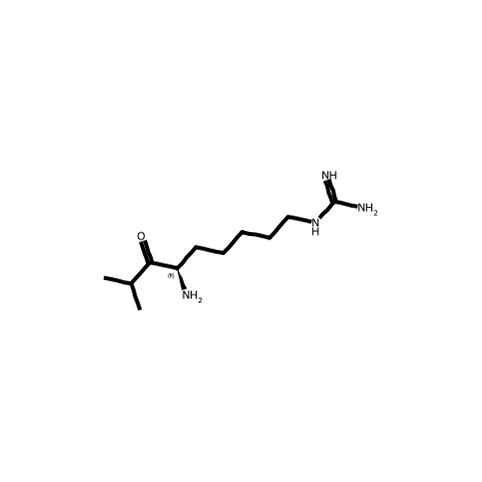 CC(C)C(=O)[C@H](N)CCCCCNC(=N)N